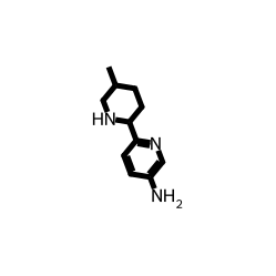 CC1CCC(c2ccc(N)cn2)NC1